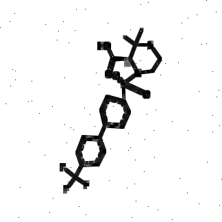 CC1(C)SCCN(S(=O)(=O)c2ccc(-c3ccc(C(F)(F)F)cc3)cc2)[C@H]1C(=O)O